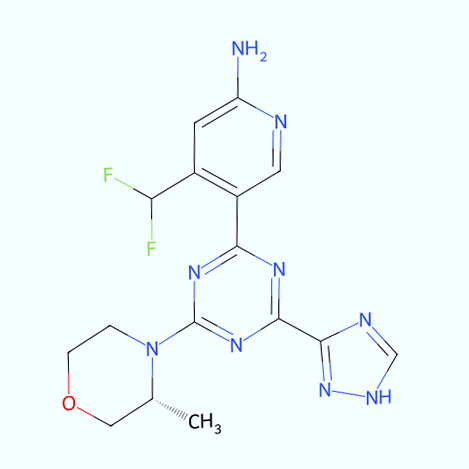 C[C@@H]1COCCN1c1nc(-c2nc[nH]n2)nc(-c2cnc(N)cc2C(F)F)n1